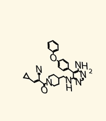 N#CC(=CC1CC1)C(=O)N1CCC(CNc2ncnc(N)c2-c2ccc(Oc3ccccc3)cc2)CC1